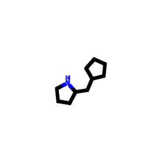 C1CCC(CC2CCCN2)C1